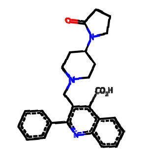 O=C(O)c1c(CN2CCC(N3CCCC3=O)CC2)c(-c2ccccc2)nc2ccccc12